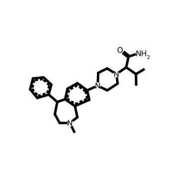 CC(C)C(C(N)=O)N1CCN(c2ccc3c(c2)CN(C)CCC3c2ccccc2)CC1